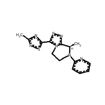 Cc1nsc(-c2nnc3n2CCN(c2ccccn2)[C@@H]3C)n1